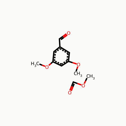 COC=O.COc1cc(C=O)cc(OC)c1